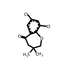 CC1(C)COc2c(Cl)cc(Cl)cc2C(=O)C1